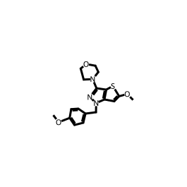 COc1ccc(Cn2nc(N3CCOCC3)c3sc(OC)cc32)cc1